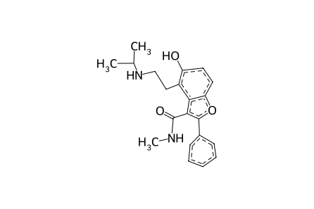 CNC(=O)c1c(-c2ccccc2)oc2ccc(O)c(CCNC(C)C)c12